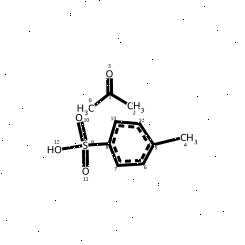 CC(C)=O.Cc1ccc(S(=O)(=O)O)cc1